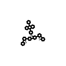 c1ccc(-c2c3ccccc3c(-c3ccc(-n4c5cc(-c6cccc7c6sc6ccccc67)ccc5c5ccc(-c6cccc7c6sc6ccccc67)cc54)cc3)c3ccccc23)cc1